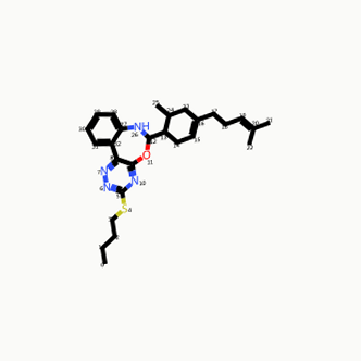 CCCCSc1nnc2c(n1)OC(C1CC=C(CCC=C(C)C)CC1C)Nc1ccccc1-2